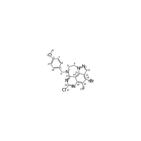 COc1ccc(CN2CCn3ncc4c(Br)c(F)c5nc(Cl)nc2c5c43)cc1